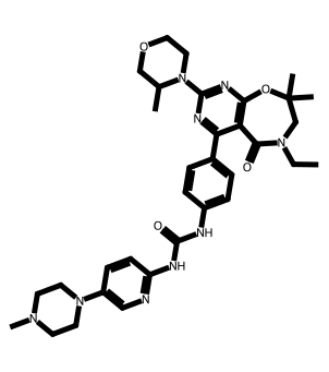 CCN1CC(C)(C)Oc2nc(N3CCOCC3C)nc(-c3ccc(NC(=O)Nc4ccc(N5CCN(C)CC5)cn4)cc3)c2C1=O